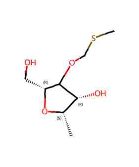 CSCOC1[C@@H](CO)O[C@@H](C)[C@H]1O